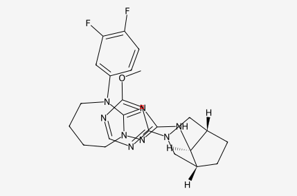 COc1cc(N2C[C@H]3CC[C@@H](C2)[C@@H]3Nc2nc3n(n2)CCCCN3c2ccc(F)c(F)c2)ncn1